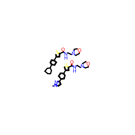 Cn1ccc(-c2ccc(-c3csc(C(=O)NCCN4CCOCC4)c3)cc2)n1.O=C(NCCN1CCOCC1)c1cc(-c2ccc(C3CCCCC3)cc2)cs1